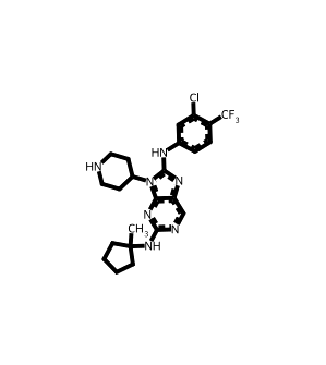 CC1(Nc2ncc3nc(Nc4ccc(C(F)(F)F)c(Cl)c4)n(C4CCNCC4)c3n2)CCCC1